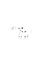 Cl.O=S(=O)(O)OO.[NaH].[NaH]